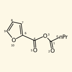 CCCC(=O)OC(=O)c1ccco1